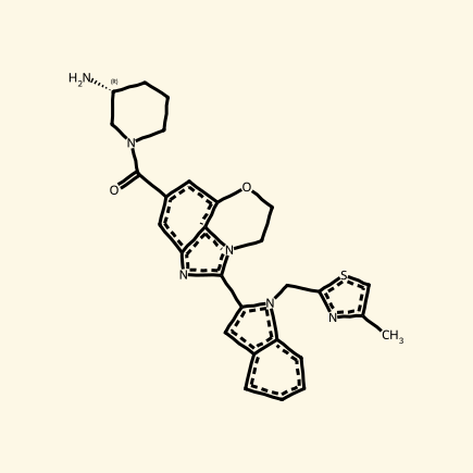 Cc1csc(Cn2c(-c3nc4cc(C(=O)N5CCC[C@@H](N)C5)cc5c4n3CCO5)cc3ccccc32)n1